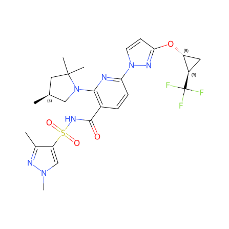 Cc1nn(C)cc1S(=O)(=O)NC(=O)c1ccc(-n2ccc(O[C@@H]3C[C@H]3C(F)(F)F)n2)nc1N1C[C@@H](C)CC1(C)C